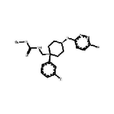 CC(C)(C)OC(=O)NC[C@]1(c2cccc(Cl)c2)CC[C@H](Oc2ccc(Br)nn2)CC1